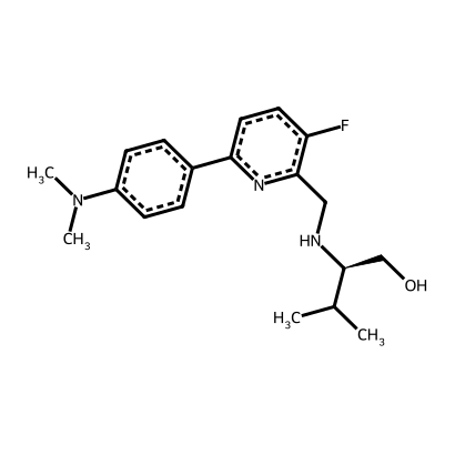 CC(C)[C@H](CO)NCc1nc(-c2ccc(N(C)C)cc2)ccc1F